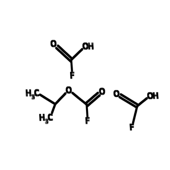 CC(C)OC(=O)F.O=C(O)F.O=C(O)F